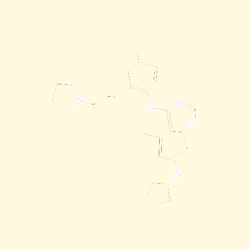 Cc1cc(N=S2CCCC2)cc2ncnc(Nc3ccc(F)cc3OCC(=O)N3CCCC3)c12